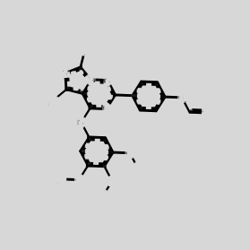 COc1cc(Nc2nc(-c3ccc(NC=O)cc3)nn3c(C)nc(C)c23)cc(OC)c1OC